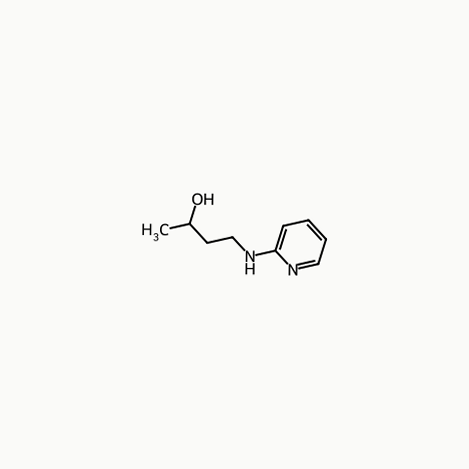 CC(O)CCNc1ccccn1